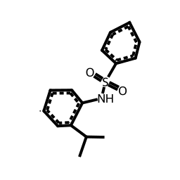 CC(C)c1c[c]ccc1NS(=O)(=O)c1ccccc1